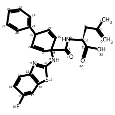 C=C(C)C[C@H](NC(=O)C1(Nc2nc3ccc(F)cc3s2)C=CC(c2ccccc2)C=C1)C(=O)O